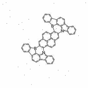 c1ccc2c(c1)B1c3c(cc4ccc5c6c(cc7ccc3c4c75)B3c4ccccc4-c4ccc5c7ccccc7n-6c5c43)-n3c4ccccc4c4ccc-2c1c43